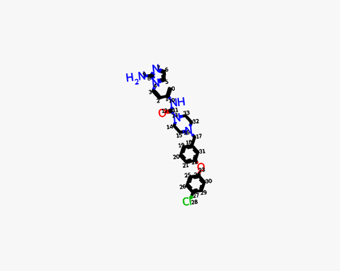 C=C(/C=C\n1ccnc1N)NC(=O)N1CCN(Cc2cccc(Oc3ccc(Cl)cc3)c2)CC1